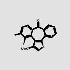 COc1csc2c3ccccc3c(=O)c3ccc(F)c(F)c3c12